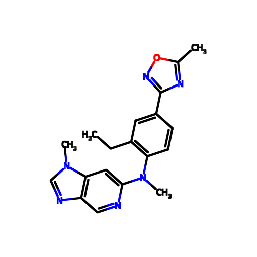 CCc1cc(-c2noc(C)n2)ccc1N(C)c1cc2c(cn1)ncn2C